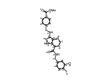 COC(=O)c1ccc(CNc2n[nH]c3c(C(=O)NCc4ccc(F)c(Cl)c4)ncnc23)cc1